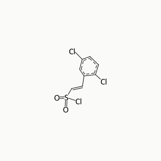 O=S(=O)(Cl)/C=C/c1cc(Cl)ccc1Cl